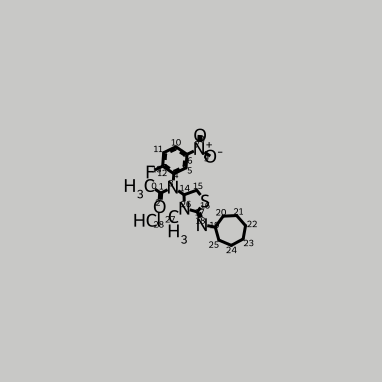 CC(=O)N(c1cc([N+](=O)[O-])ccc1F)C1CSC(=NC2CCCCCC2)N1C.Cl